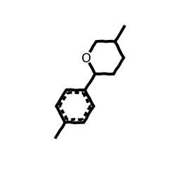 Cc1ccc(C2CCC(C)CO2)cc1